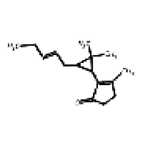 CCC=CCC1C(C2=C(C)CCC2=O)C1(C)C